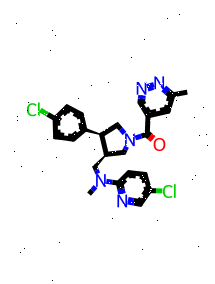 Cc1cc(C(=O)N2C[C@@H](CN(C)c3ccc(Cl)cn3)[C@@H](c3ccc(Cl)cc3)C2)cnn1